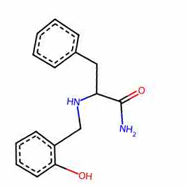 NC(=O)C(Cc1ccccc1)NCc1ccccc1O